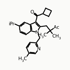 CC(=O)C(C)(C)Cc1c(C(=O)C2CCC2)c2cc(C(C)C)ccc2n1Cc1ccc(C)cn1